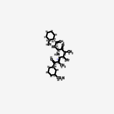 C/C(=C\C(C(C)C)N(C)C(=O)[C@@H](NC(=O)[C@H]1CCCCN1C(C)C)C(C)C)C(=O)N1CCCC(C(=O)O)C1